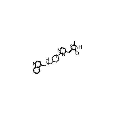 C=c1[nH]c(=O)/c(=C/c2ccnc(N3CCC(CNCc4ccnc5ccccc45)CC3)n2)s1